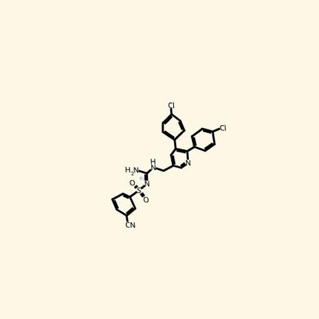 N#Cc1cccc(S(=O)(=O)/N=C(\N)NCc2cnc(-c3ccc(Cl)cc3)c(-c3ccc(Cl)cc3)c2)c1